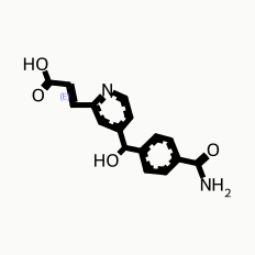 NC(=O)c1ccc(C(O)c2ccnc(/C=C/C(=O)O)c2)cc1